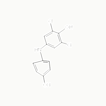 Oc1ccc(Nc2cc(Cl)c(O)c(Cl)c2)cc1